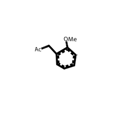 COc1[c]cccc1CC(C)=O